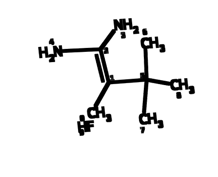 CC(=C(N)N)C(C)(C)C.F